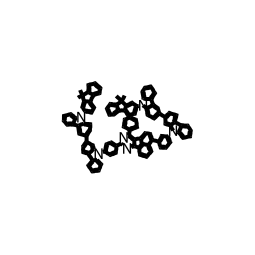 CC1(C)c2ccccc2-c2ccc(-n3c4ccccc4c4cc(-c5ccc6c7ccccc7n(-c7ccc(-c8nc(-c9ccccc9)c9c(n8)-c8cccc%10c(-c%11cccc(-n%12c%13ccccc%13c%13ccc(-c%14ccc%15c(c%14)c%14ccccc%14n%15-c%14ccc%15c(c%14)C(C)(C)c%14ccccc%14-%15)cc%13%12)c%11)ccc-9c8%10)cc7)c6c5)ccc43)cc21